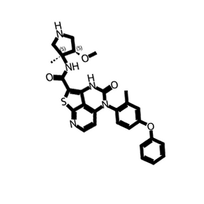 CO[C@H]1CNC[C@]1(C)NC(=O)c1sc2nccc3c2c1NC(=O)N3c1ccc(Oc2ccccc2)cc1C